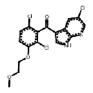 COCCOc1ccc(Cl)c(C(=O)c2c[nH]c3ncc(Cl)cc23)c1Cl